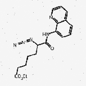 CCOC(=O)CCCCC(N=[N+]=[N-])C(=O)Nc1cccc2cccnc12